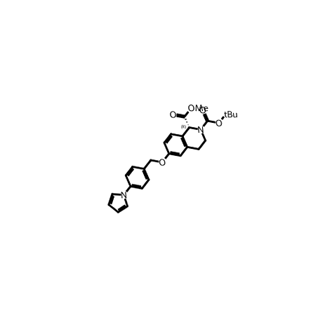 COC(=O)[C@H]1c2ccc(OCc3ccc(-n4cccc4)cc3)cc2CCN1C(=O)OC(C)(C)C